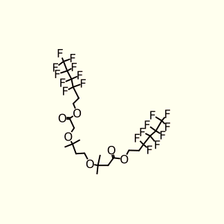 CC(C)(CCOC(C)(C)CC(=O)OCCC(F)(F)C(F)(F)C(F)(F)C(F)(F)F)OCC(=O)OCCC(F)(F)C(F)(F)C(F)(F)C(F)(F)F